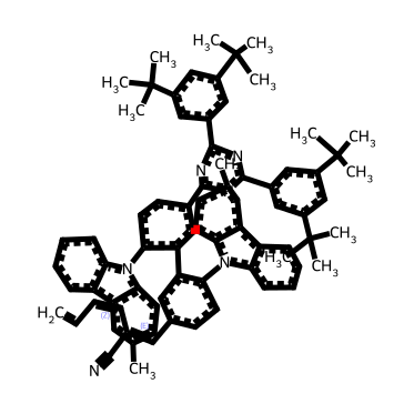 C=C/C=C\C(C#N)=C/c1ccc(-n2c3ccccc3c3cc(C)ccc32)c(-c2cc(-c3nc(-c4cc(C(C)(C)C)cc(C(C)(C)C)c4)nc(-c4cc(C(C)(C)C)cc(C(C)(C)C)c4)n3)ccc2-n2c3ccccc3c3cc(C)ccc32)c1